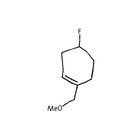 COCC1=CCC(F)CC1